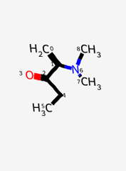 C=C(C(=O)CC)N(C)C